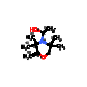 [CH2]C(O)N1C(C)(C)COC(=C)C1(C)C